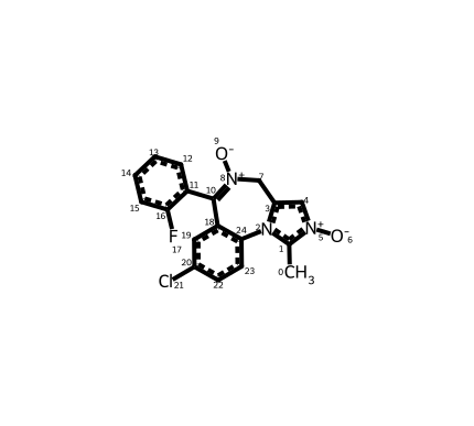 Cc1n2c(c[n+]1[O-])C[N+]([O-])=C(c1ccccc1F)c1cc(Cl)ccc1-2